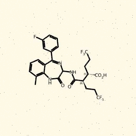 Cc1cccc2c1NC(=O)C(NC(=O)[C@H](CCC(F)(F)F)[C@H](CCC(F)(F)F)C(=O)O)N=C2c1cccc(F)c1